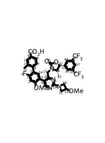 COc1cc(F)c(-c2ccc(C(=O)O)cc2C)cc1-c1cnc(N2CC(OC)C2)nc1CN1C(=O)O[C@H](c2cc(C(F)(F)F)cc(C(F)(F)F)c2)[C@@H]1C